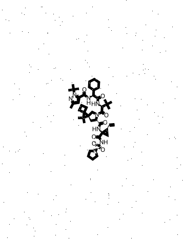 C=C[C@@H]1C[C@]1(NC(=O)[C@@H]1C[C@@]2(CN1C(=O)[C@@H](NC(=O)[C@@H](NC(=O)c1cc(C)nn1C(C)(C)C)C1CCCCC1)C(C)(C)C)C(C)(C)C21CCC1)C(=O)NS(=O)(=O)N1CCCC1